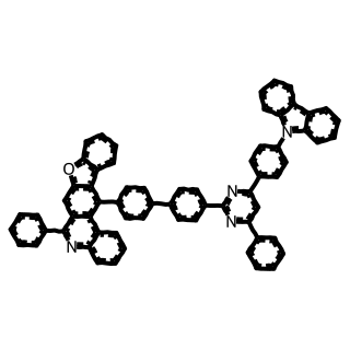 c1ccc(-c2cc(-c3ccc(-n4c5ccccc5c5ccccc54)cc3)nc(-c3ccc(-c4ccc(-c5c6c(cc7c(-c8ccccc8)nc8ccccc8c57)oc5ccccc56)cc4)cc3)n2)cc1